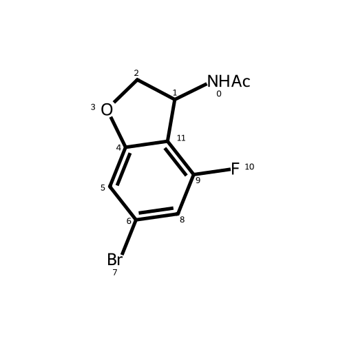 CC(=O)NC1COc2cc(Br)cc(F)c21